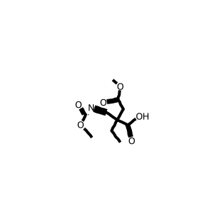 CCC(C#N)(CC(=O)OC)C(=O)O.CO[C]=O